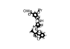 COC(=O)c1cc(OC(C)C)c2nc(N[C@H]3C[C@@H]4C[C@H]3C[C@@H]4OCc3c(-c4c(Cl)cccc4Cl)noc3C3CC3)sc2c1